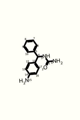 NC(=O)NC(c1ccccc1)c1ccc(N)cc1